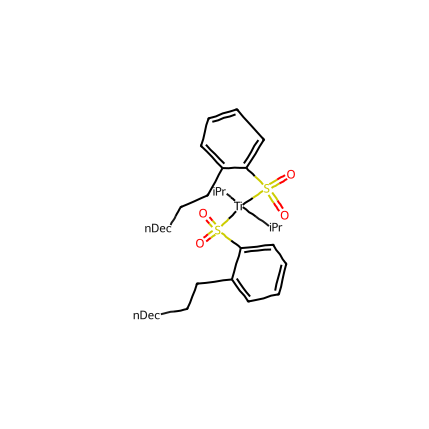 CCCCCCCCCCCCc1ccccc1[S](=O)(=O)[Ti]([CH](C)C)([CH](C)C)[S](=O)(=O)c1ccccc1CCCCCCCCCCCC